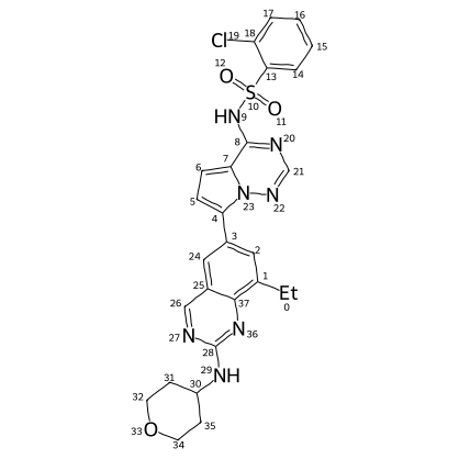 CCc1cc(-c2ccc3c(NS(=O)(=O)c4ccccc4Cl)ncnn23)cc2cnc(NC3CCOCC3)nc12